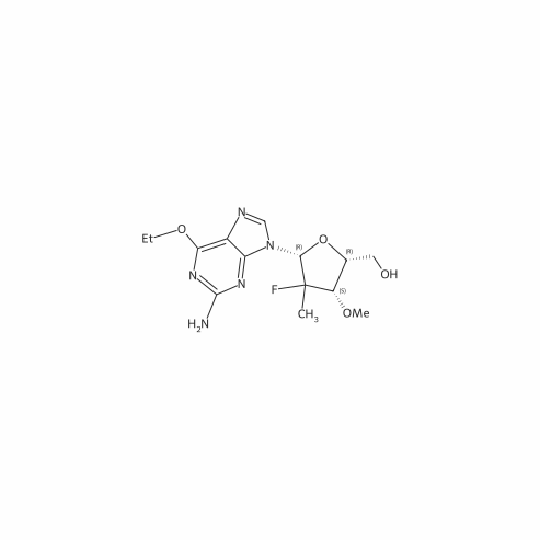 CCOc1nc(N)nc2c1ncn2[C@@H]1O[C@H](CO)[C@H](OC)C1(C)F